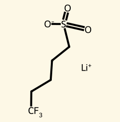 O=S(=O)([O-])CCCCC(F)(F)F.[Li+]